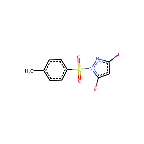 Cc1ccc(S(=O)(=O)n2nc(I)cc2Br)cc1